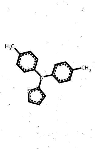 Cc1ccc(N(c2ccc(C)cc2)c2cccs2)cc1